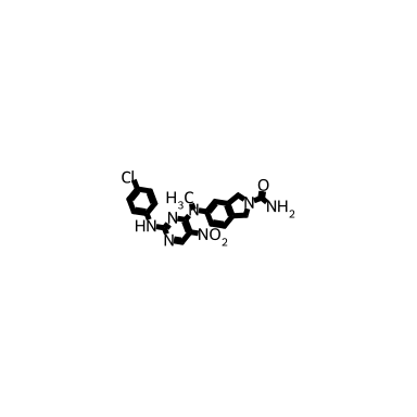 CN(c1ccc2c(c1)CN(C(N)=O)C2)c1nc(Nc2ccc(Cl)cc2)ncc1[N+](=O)[O-]